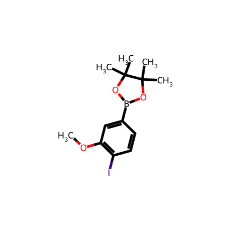 COc1cc(B2OC(C)(C)C(C)(C)O2)ccc1I